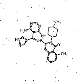 Cc1cccc2cc(CNc3ncnc(N)c3C(=N)c3cn[nH]c3)n(C3CCN(C)CC3)c(=O)c12